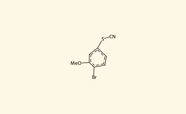 COc1cc(SC#N)ccc1Br